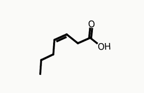 CCC/C=C\CC(=O)O